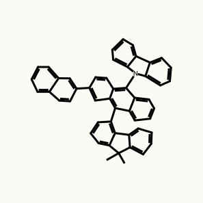 CC1(C)c2ccccc2-c2c(-c3c4ccccc4c(-n4c5ccccc5c5ccccc54)c4ccc(-c5ccc6ccccc6c5)cc34)cccc21